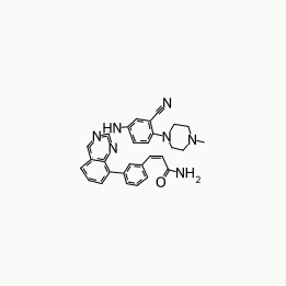 CN1CCN(c2ccc(Nc3ncc4cccc(-c5cccc(C=CC(N)=O)c5)c4n3)cc2C#N)CC1